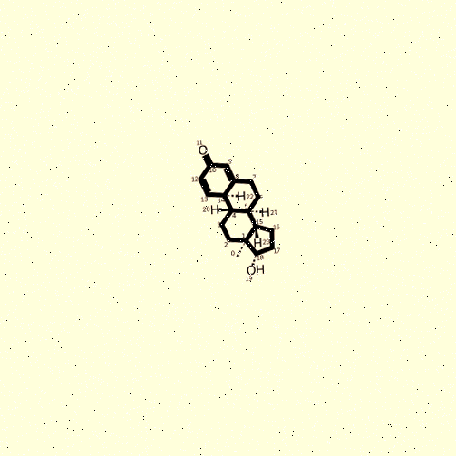 C[C@]12CC[C@H]3[C@@H](CCC4=CC(=O)C=C[C@@H]43)[C@@H]1CC[C@@H]2O